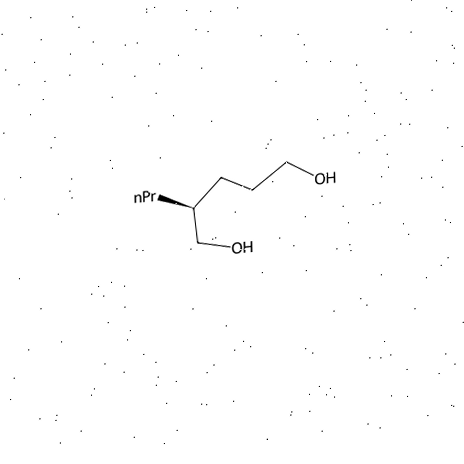 CCC[C@H](CO)CCCO